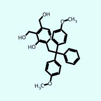 COc1ccc(C(Cc2ncc(CO)c(CO)c2O)(c2ccccc2)c2ccc(OC)cc2)cc1